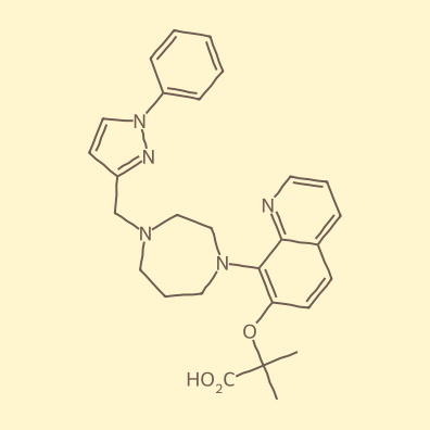 CC(C)(Oc1ccc2cccnc2c1N1CCCN(Cc2ccn(-c3ccccc3)n2)CC1)C(=O)O